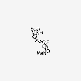 CCc1nc2ccc(C(C)N3CC(Oc4ccc(C(=O)NC)nc4F)C3)cc2[nH]c1=O